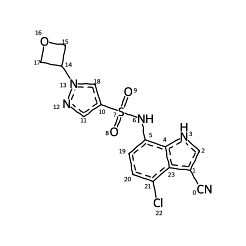 N#Cc1c[nH]c2c(NS(=O)(=O)c3cnn(C4COC4)c3)ccc(Cl)c12